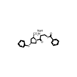 C[C@H](CSC(=O)c1ccccc1)C(=O)N1C[C@@H](Sc2ccccc2)C[C@H]1C(=O)O.[NaH]